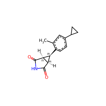 Cc1cc(C2CC2)ccc1[C@@H]1[C@@H]2C(=O)NC(=O)[C@@H]21